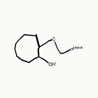 CCCCCCCOC1CCCCCC1O